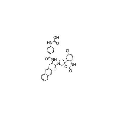 O=C(O)Nc1ccc(C(=O)NC(Cc2ccc3ccccc3c2)C(=O)N2CCC3(C2)OC(=O)Nc2ccc(Cl)cc23)cc1